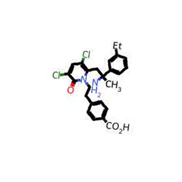 CCc1cccc(C(C)(N)Cc2c(Cl)cc(Cl)c(=O)n2CCc2ccc(C(=O)O)cc2)c1